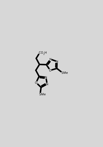 CSc1nnc(CC(CC(=O)O)c2nnc(SC)o2)o1